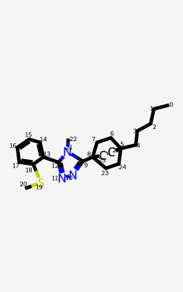 CCCCCC12CCC(c3nnc(-c4ccccc4SC)n3C)(CC1)CC2